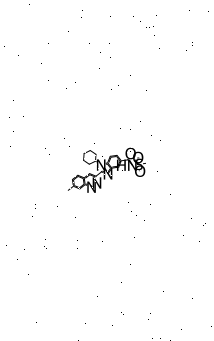 Cc1ccc2cc(-c3nc4cc(C(=O)NS(C)(=O)=O)ccc4n3C3CCCCC3)nnc2c1